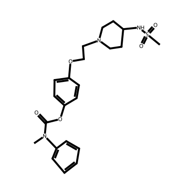 CN(C(=O)Oc1ccc(OCCN2CCC(NS(C)(=O)=O)CC2)cc1)c1ccccc1